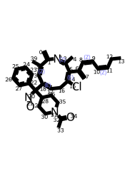 C=C1/N=C(C)\C(C(=C)/C=C\C=C/CC)=C(\Cl)C/C=C(C(N=O)(c2ccccc2)C2CCN(C(C)=O)CC2)\C=C/1C